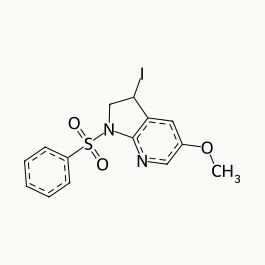 COc1cnc2c(c1)C(I)CN2S(=O)(=O)c1ccccc1